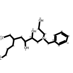 CCCCC(CC)CC(O)C(O)[CH]N(CCO)Cc1ccccc1